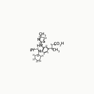 CC(C)CN(c1ccc(C(C)CC(=O)O)cc1NC1=NC(C)CS1)C1CCCCC1